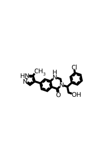 Cc1[nH]ncc1-c1ccc2c(c1)NCN(C(CO)c1cccc(Cl)c1)C2=O